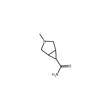 CN1CC2C(C1)C2C(N)=O